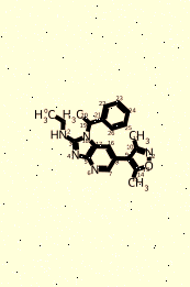 CCNc1nc2ncc(-c3c(C)noc3C)cc2n1C(C)c1ccccc1